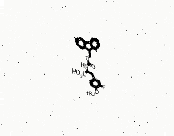 CC(C)(C)Oc1ccc(CC(NC(=O)OCC2c3ccccc3-c3ccccc32)C(=O)O)cc1F